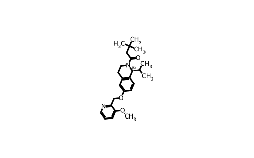 COc1cccnc1COc1ccc2c(c1)CCN(C(=O)CC(C)(C)C)[C@H]2C(C)C